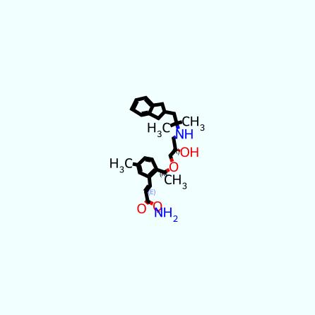 Cc1ccc([C@@H](C)OC[C@H](O)CNC(C)(C)CC2Cc3ccccc3C2)c(/C=C/C(=O)ON)c1